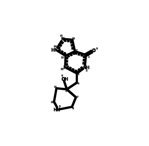 O=c1[nH]c(CC2(O)CCNCC2)nc2[nH]ncc12